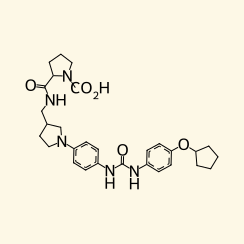 O=C(Nc1ccc(OC2CCCC2)cc1)Nc1ccc(N2CCC(CNC(=O)C3CCCN3C(=O)O)C2)cc1